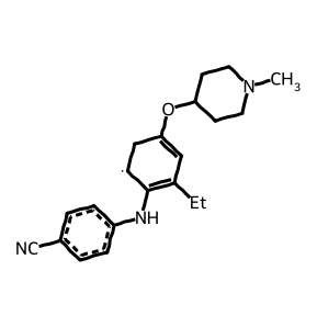 CCC1=C(Nc2ccc(C#N)cc2)[CH]CC(OC2CCN(C)CC2)=C1